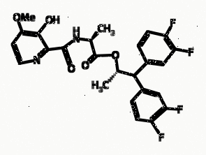 COc1ccnc(C(=O)N[C@@H](C)C(=O)O[C@@H](C)C(c2ccc(F)c(F)c2)c2ccc(F)c(F)c2)c1O